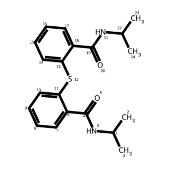 CC(C)NC(=O)c1ccccc1Sc1ccccc1C(=O)NC(C)C